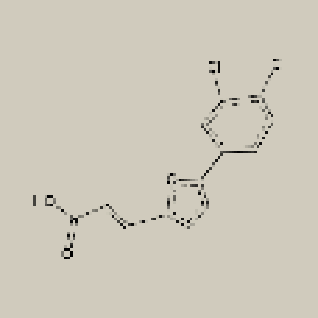 O=C(O)C=Cc1ccc(-c2ccc(Cl)c(Cl)c2)o1